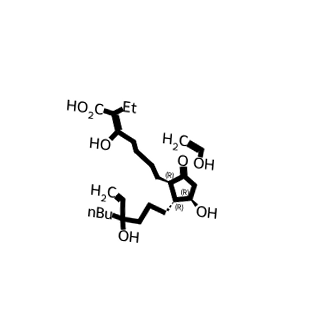 C=CC(O)(CCCC)CCC[C@H]1[C@H](O)CC(=O)[C@@H]1CCCCC(O)=C(CC)C(=O)O.C=CO